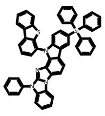 c1ccc(-n2c3ccccc3n3c4ccc5c6cc([Si](c7ccccc7)(c7ccccc7)c7ccccc7)ccc6n(-c6cccc7c6sc6ccccc67)c5c4nc23)cc1